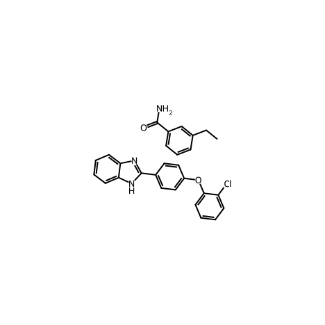 CCc1cccc(C(N)=O)c1.Clc1ccccc1Oc1ccc(-c2nc3ccccc3[nH]2)cc1